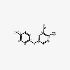 N#Cc1ncc(Cc2ccc(Cl)cc2)cc1Br